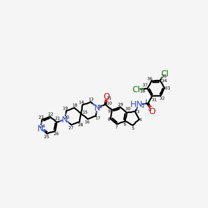 O=C(NC1CCc2ccc(C(=O)N3CCC4(CC3)CCN(c3ccncc3)CC4)cc21)c1ccc(Cl)cc1Cl